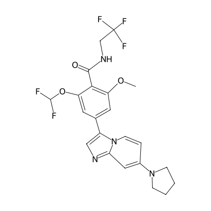 COc1cc(-c2cnc3cc(N4CCCC4)ccn23)cc(OC(F)F)c1C(=O)NCC(F)(F)F